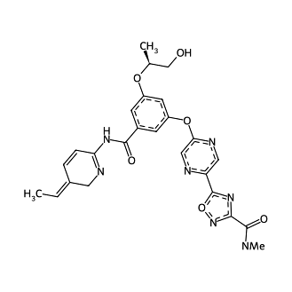 C/C=C1\C=CC(NC(=O)c2cc(Oc3cnc(-c4nc(C(=O)NC)no4)cn3)cc(O[C@@H](C)CO)c2)=NC1